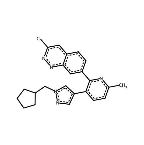 Cc1ccc(-c2cnn(CC3CCCC3)c2)c(-c2ccc3cc(Cl)nnc3c2)n1